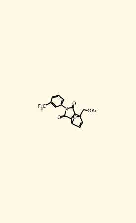 CC(=O)OCC12C=CC(O1)C1C(=O)N(c3cccc(C(F)(F)F)c3)C(=O)C12